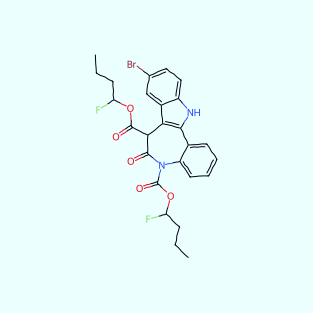 CCCC(F)OC(=O)C1C(=O)N(C(=O)OC(F)CCC)c2ccccc2-c2[nH]c3ccc(Br)cc3c21